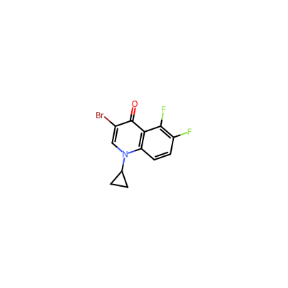 O=c1c(Br)cn(C2CC2)c2ccc(F)c(F)c12